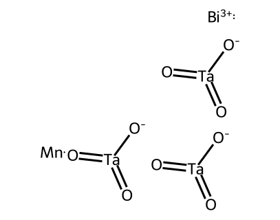 [Bi+3].[Mn].[O]=[Ta](=[O])[O-].[O]=[Ta](=[O])[O-].[O]=[Ta](=[O])[O-]